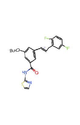 CC(C)COc1cc(/C=C/c2cc(F)ccc2F)cc(C(=O)Nc2nccs2)c1